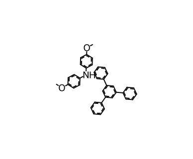 COc1ccc(Nc2ccc(OC)cc2)cc1.c1ccc(-c2cc(-c3ccccc3)cc(-c3ccccc3)c2)cc1